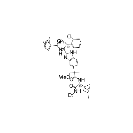 CCNC(=O)[C@H](NC(=O)C(C)(COC)c1ccc2[nH]c([C@@H](NC(=O)c3ccnn3C)[C@H](c3ccccc3Cl)C(C)C)nc2c1)C12CC(C)C(C1)C2